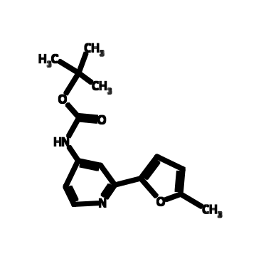 Cc1ccc(-c2cc(NC(=O)OC(C)(C)C)ccn2)o1